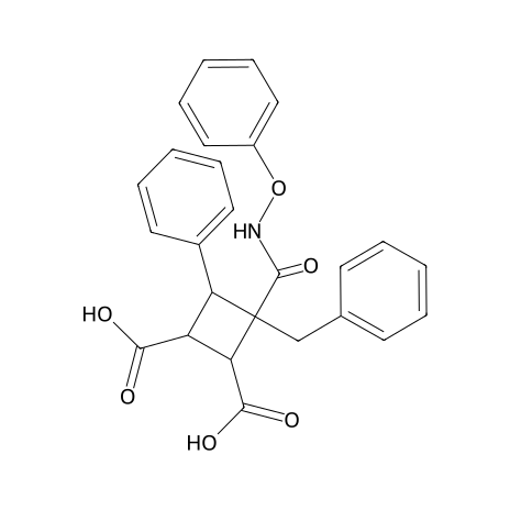 O=C(O)C1C(C(=O)O)C(Cc2ccccc2)(C(=O)NOc2ccccc2)C1c1ccccc1